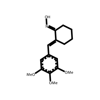 COc1cc(C=C2CCCCC2=NO)cc(OC)c1OC